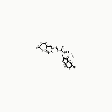 Cc1c(CN(C)C(=O)/C=C/N2C=C3CCC(=O)CC3=NC2)sc2ccc(F)cc12